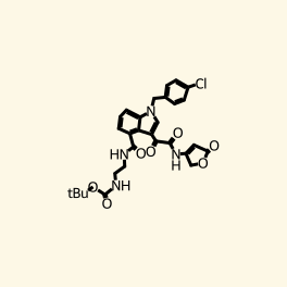 CC(C)(C)OC(=O)NCCNC(=O)c1cccc2c1c(C(=O)C(=O)NC1=CC(=O)OC1)cn2Cc1ccc(Cl)cc1